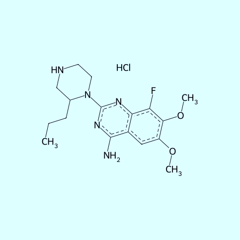 CCCC1CNCCN1c1nc(N)c2cc(OC)c(OC)c(F)c2n1.Cl